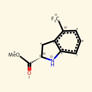 COC(=O)[C@@H]1Cc2c(cccc2C(F)(F)F)N1